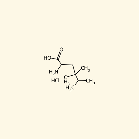 CC(C)C(C)(C)CC(N)C(=O)O.Cl